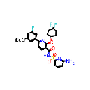 CC(C)COc1cc(F)cc(-c2ccc(C(=O)NS(=O)(=O)c3cccc(N)n3)c(OC3CCC(F)(F)CC3)n2)c1